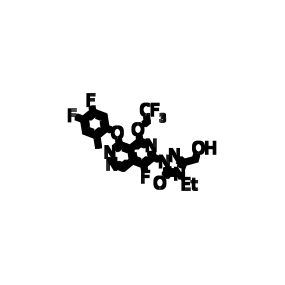 CCn1c(CO)nn(-c2nc(OCC(F)(F)F)c3c(Oc4cc(F)c(F)cc4C)nncc3c2F)c1=O